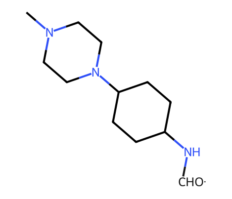 CN1CCN(C2CCC(N[C]=O)CC2)CC1